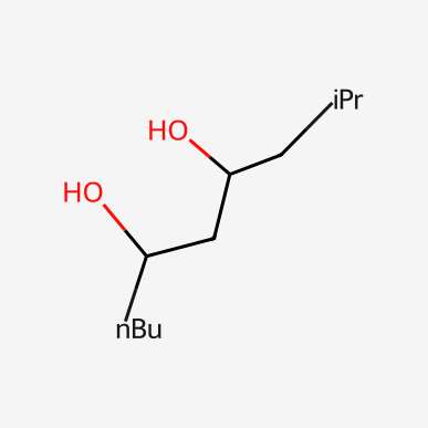 CCCCC(O)CC(O)CC(C)C